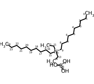 CCCCCCCCCC[N+](CC)(CC)CCCCCCCCCC.OB(O)O